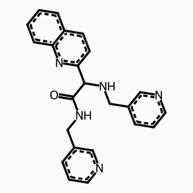 O=C(NCc1cccnc1)C(NCc1cccnc1)c1ccc2ccccc2n1